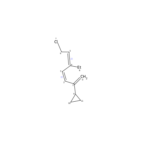 C=C(/C=C\C(=C/CCl)CC)C1CC1